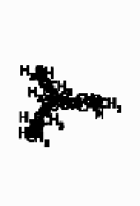 CPOc1ccc(C(C)(C)c2ccc(OC(=O)Oc3ccc(C(C)(C)c4ccc(OPC)cc4)cc3C(=O)Oc3ccc(C(C)(C)c4ccc(OPC)cc4)cc3)cc2)cc1